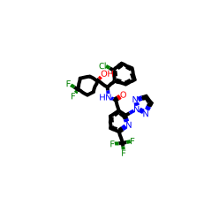 O=C(NC(c1ccccc1Cl)C1(O)CCC(F)(F)CC1)c1ccc(C(F)(F)F)nc1-n1nccn1